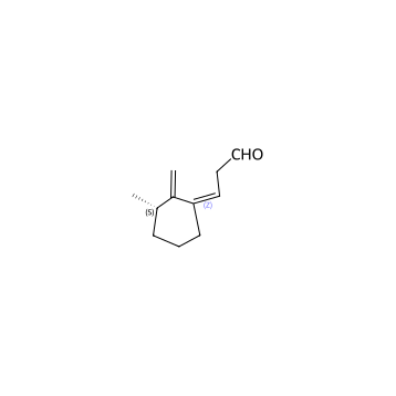 C=C1/C(=C\CC=O)CCC[C@@H]1C